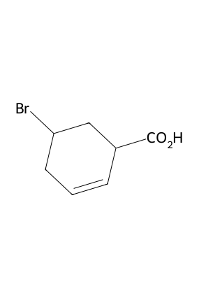 O=C(O)C1C=CCC(Br)C1